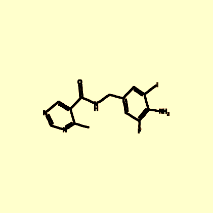 Cc1ncncc1C(=O)NCc1cc(F)c(N)c(I)c1